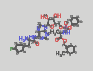 CC1CC=CC=C1COC(=O)C(C)NP(=O)(OC[C@H]1O[C@@H](n2cnc3c(NC(=O)C(N)Cc4ccc(F)cc4)ncnc32)[C@@H](O)[C@@H]1O)Oc1ccccc1